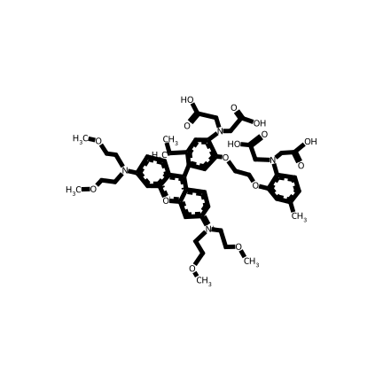 COCCN(CCOC)c1ccc2c(-c3cc(OCCOc4cc(C)ccc4N(CC(=O)O)CC(=O)O)c(N(CC(=O)O)CC(=O)O)cc3C(C)C)c3ccc(=[N+](CCOC)CCOC)cc-3oc2c1